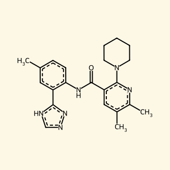 Cc1ccc(NC(=O)c2cc(C)c(C)nc2N2CCCCC2)c(-c2nnc[nH]2)c1